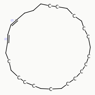 [C]1=C\C=C/CCCCCCCCCCCCCCCCCCCCCCCCC/1